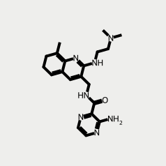 CC1=c2nc(NCCN(C)C)c(CNC(=O)c3nccnc3N)cc2=CCC1